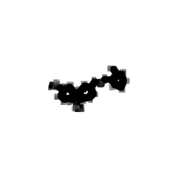 CCn1c2ccc(COCc3ccccc3C)cc2c2cc(C(C)=O)ccc21